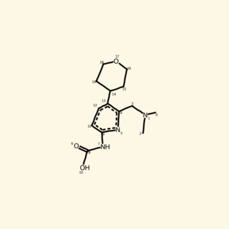 CN(C)Cc1nc(NC(=O)O)ccc1C1CCOCC1